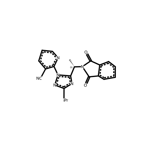 CC(C)c1nc([C@H](C)N2C(=O)c3ccccc3C2=O)n(-c2ncccc2C#N)n1